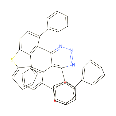 c1ccc(-c2ccccc2-c2nnnc(-c3c(-c4ccccc4)ccc4sc5ccccc5c34)c2-c2ccccc2-c2ccccc2)cc1